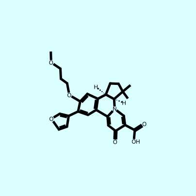 COCCCOc1cc2c(cc1-c1ccoc1)-c1cc(=O)c(C(=O)O)cn1[C@H]1[C@@H]2CCC1(C)C